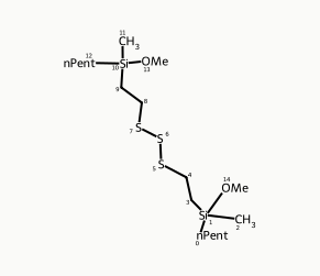 CCCCC[Si](C)(CCSSSCC[Si](C)(CCCCC)OC)OC